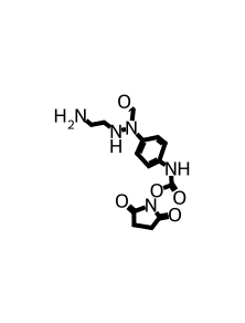 NCCNN(C=O)c1ccc(NC(=O)ON2C(=O)CCC2=O)cc1